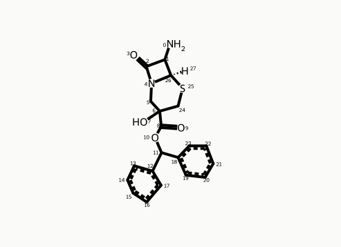 NC1C(=O)N2CC(O)(C(=O)OC(c3ccccc3)c3ccccc3)CS[C@H]12